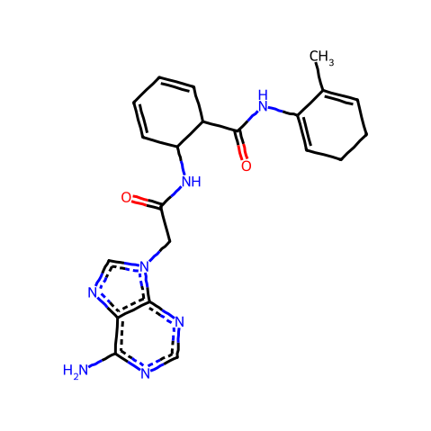 CC1=CCCC=C1NC(=O)C1C=CC=CC1NC(=O)Cn1cnc2c(N)ncnc21